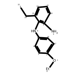 CCOc1ccc(Nc2c(N)cccc2CI)cc1